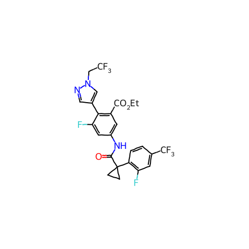 CCOC(=O)c1cc(NC(=O)C2(c3ccc(C(F)(F)F)cc3F)CC2)cc(F)c1-c1cnn(CC(F)(F)F)c1